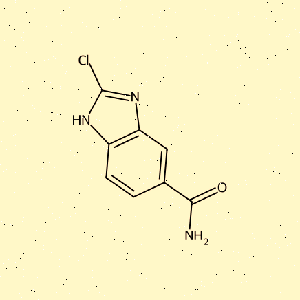 NC(=O)c1ccc2[nH]c(Cl)nc2c1